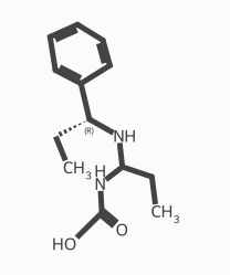 CCC(NC(=O)O)N[C@H](CC)c1ccccc1